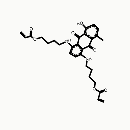 C=CC(=O)OCCCCNc1ccc(NCCCCOC(=O)C=C)c2c1C(=O)c1c(C)ccc(O)c1C2=O